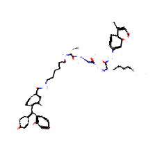 CC(=O)NCCCC[C@H](NC(=O)CNC(=O)[C@H](CC(C)C)NC(=O)CCCCCNC(=O)c1ccc(C2=C3CCC(=O)C=C3Oc3cc(O)ccc32)c(C(=O)O)c1)C(=O)Nc1ccc2c(C)cc(=O)oc2c1